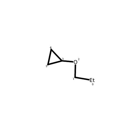 CCCOC1CC1